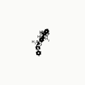 CN(C(=O)CN1CCN(C2CCCCC2)CC1)c1ccc2nc(-c3c(N)c4c(F)cccc4[nH]c3=O)[nH]c2c1